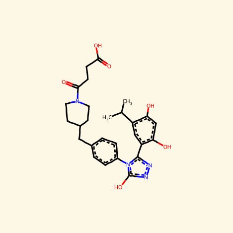 CC(C)c1cc(-c2nnc(O)n2-c2ccc(CC3CCN(C(=O)CCC(=O)O)CC3)cc2)c(O)cc1O